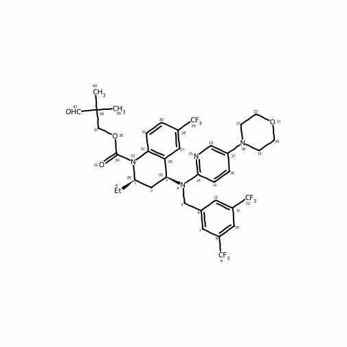 CC[C@@H]1C[C@H](N(Cc2cc(C(F)(F)F)cc(C(F)(F)F)c2)c2ccc(N3CCOCC3)cn2)c2cc(C(F)(F)F)ccc2N1C(=O)OCC(C)(C)C=O